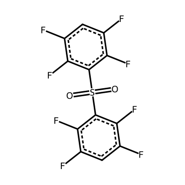 O=S(=O)(c1c(F)c(F)cc(F)c1F)c1c(F)c(F)cc(F)c1F